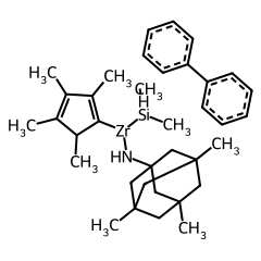 CC1=C(C)C(C)[C]([Zr]([NH]C23CC4(C)CC(C)(CC(C)(C4)C2)C3)[SiH](C)C)=C1C.c1ccc(-c2ccccc2)cc1